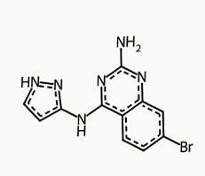 Nc1nc(Nc2cc[nH]n2)c2ccc(Br)cc2n1